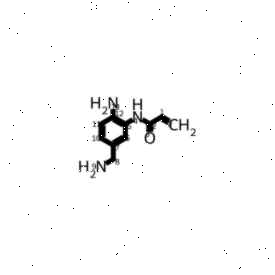 C=CC(=O)Nc1cc(CN)ccc1N